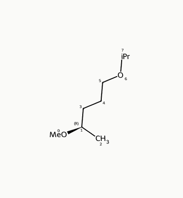 CO[C@H](C)CCCOC(C)C